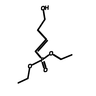 CCOP(=O)(/C=C/CCO)OCC